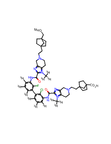 [2H]c1c([2H])c(NC(=O)c2nc3c(n2C([2H])([2H])[2H])CCN(CCC24CCC(COC)(CC2)C4)C3)c(F)c(-c2c([2H])c([2H])c([2H])c(NC(=O)c3nc4c(n3C([2H])([2H])[2H])CCN(CCC35CCC(C(=O)O)(CC3)C5)C4)c2Cl)c1[2H]